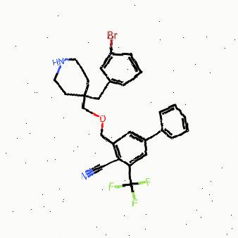 N#Cc1c(COCC2(Cc3cccc(Br)c3)CCNCC2)cc(-c2ccccc2)cc1C(F)(F)F